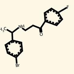 CC(NCCC(=O)c1ccc(F)cc1)c1ccc(Br)cc1